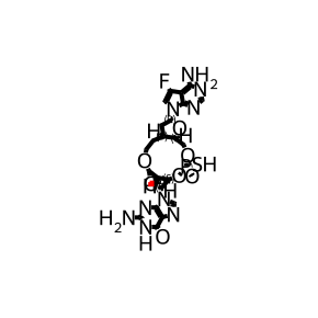 Nc1nc2c(ncn2[C@@H]2OC3OCC[C@H]4C[C@H](n5cc(F)c6c(N)ncnc65)O[C@@H]4COP(=O)(S)O[C@@H]2[C@@H]3F)c(=O)[nH]1